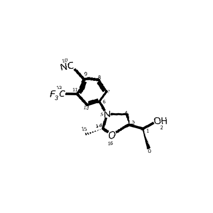 C[C@H](O)[C@@H]1CN(c2ccc(C#N)c(C(F)(F)F)c2)[C@@H](C)O1